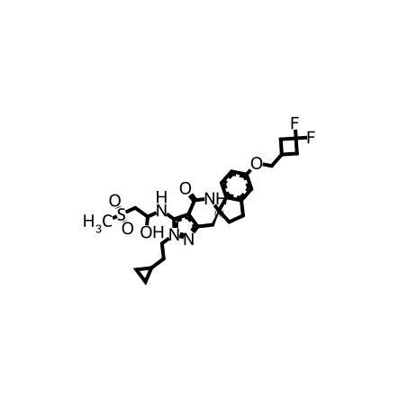 CS(=O)(=O)CC(O)Nc1c2c(nn1CCC1CC1)C[C@@]1(CCc3cc(OCC4CC(F)(F)C4)ccc31)NC2=O